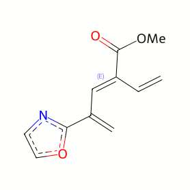 C=C/C(=C\C(=C)c1ncco1)C(=O)OC